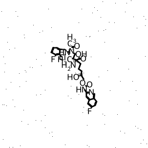 CC(=O)N(CC(C)[C@](N)(CCC[C@H](O)COC(=O)Nc1cc2cc(F)ccc2cn1)C(=O)O)NCc1cccc(F)c1Cl